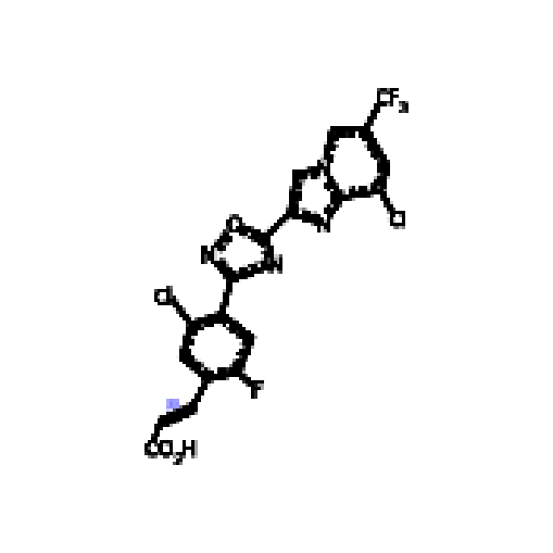 O=C(O)/C=C/c1cc(Cl)c(-c2noc(-c3cn4cc(C(F)(F)F)cc(Cl)c4n3)n2)cc1F